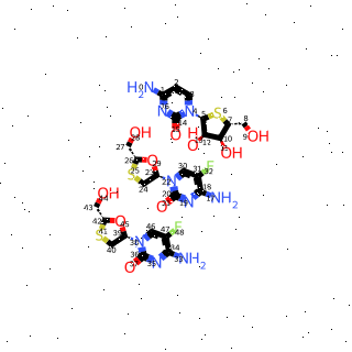 Nc1ccn([C@@H]2S[C@H](CO)[C@@H](O)[C@H]2O)c(=O)n1.Nc1nc(=O)n([C@@H]2CS[C@H](CO)O2)cc1F.Nc1nc(=O)n([C@@H]2CS[C@H](CO)O2)cc1F